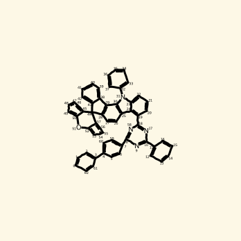 c1ccc(-c2ccc(-c3nc(-c4ccccc4)nc(-c4cccc5c4c4ccc6c(c4n5-c4ccccc4)-c4ccccc4C64c5ccccc5Oc5ccccc54)n3)cc2)cc1